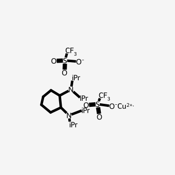 CC(C)N(C(C)C)C1CCCCC1N(C(C)C)C(C)C.O=S(=O)([O-])C(F)(F)F.O=S(=O)([O-])C(F)(F)F.[Cu+2]